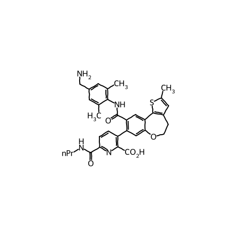 CCCNC(=O)c1ccc(-c2cc3c(cc2C(=O)Nc2c(C)cc(CN)cc2C)-c2sc(C)cc2CCO3)c(C(=O)O)n1